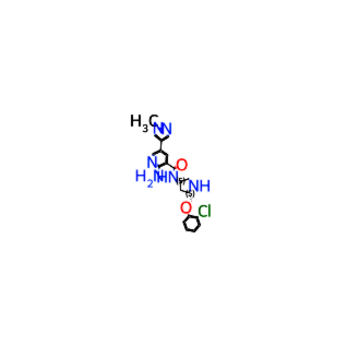 Cn1cc(-c2cnc(N)c(C(=O)N[C@@H]3CN[C@H](COc4ccccc4Cl)C3)c2)cn1